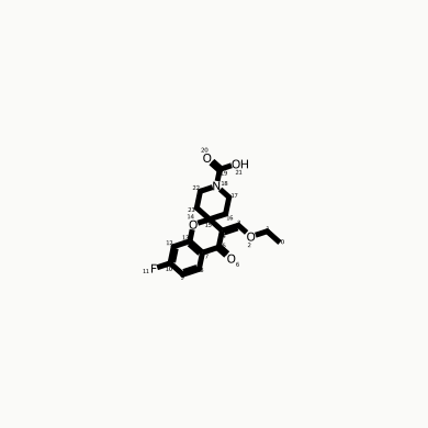 CCO/C=C1\C(=O)c2ccc(F)cc2OC12CCN(C(=O)O)CC2